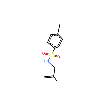 C=C(C)CNS(=O)(=O)c1ccc(C)cc1